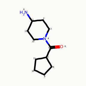 NC1CCN(C(=O)C2CCCC2)CC1